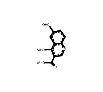 COC(=O)c1cnc2ccc(C=O)cc2c1OC